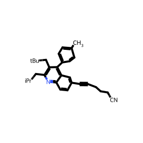 Cc1ccc(-c2c(CC(C)(C)C)c(CC(C)C)nc3ccc(C#CCCCC#N)cc23)cc1